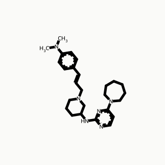 CN(C)c1ccc(C=CCN2CCCC(Nc3nccc(N4CCCCCC4)n3)C2)cc1